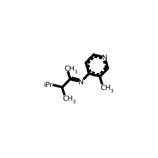 C/C(=N\c1ccncc1C)C(C)C(C)C